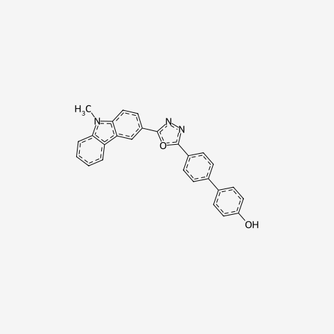 Cn1c2ccccc2c2cc(-c3nnc(-c4ccc(-c5ccc(O)cc5)cc4)o3)ccc21